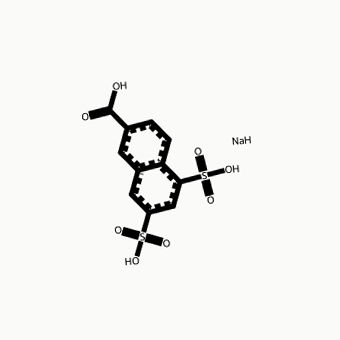 O=C(O)c1ccc2c(S(=O)(=O)O)cc(S(=O)(=O)O)cc2c1.[NaH]